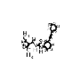 Cc1noc(C)c1C(=O)NC(=S)Nc1cccc(C#Cc2cccnc2)c1